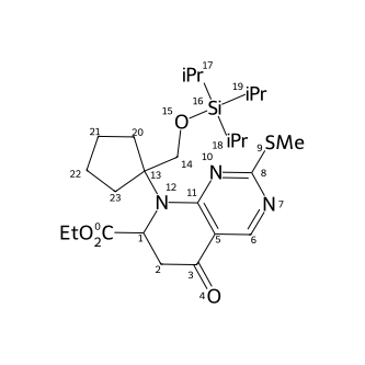 CCOC(=O)C1CC(=O)c2cnc(SC)nc2N1C1(CO[Si](C(C)C)(C(C)C)C(C)C)CCCC1